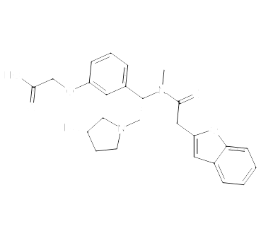 CN(C(=O)Cc1cc2ccccc2o1)[C@H](CN1CC[C@H](F)C1)c1cccc(OCC(=O)O)c1